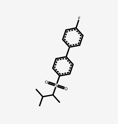 CC(C)C(C)S(=O)(=O)c1ccc(-c2ccc(F)cc2)cc1